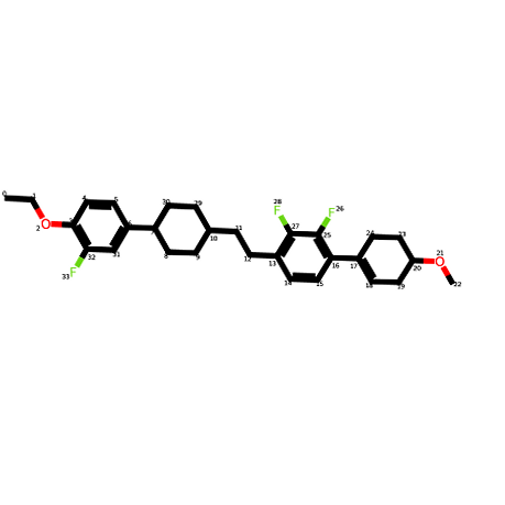 CCOc1ccc(C2CCC(CCc3ccc(C4=CCC(OC)CC4)c(F)c3F)CC2)cc1F